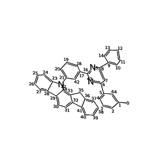 Cc1cccc(-c2cc(-c3ccccc3)nc(-c3cccc(-n4c5ccccc5c5ccc6c(c54)Cc4ccccc4-6)c3)n2)c1